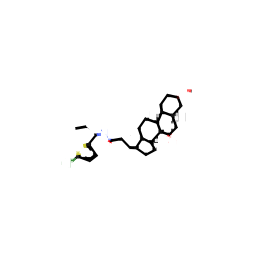 CC[C@@H](NC(=O)C[C@@H](C)C1CC[C@H]2[C@@H]3C(=O)C[C@@H]4C[C@H](OC)CC[C@]4(C)[C@H]3CC[C@]12C)c1ccc(Cl)s1